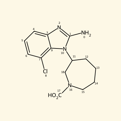 Nc1nc2cccc(Cl)c2n1C1CCCCN(C(=O)O)C1